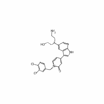 NCCN(CCO)c1cnc2[nH]cc(-c3ccn(Cc4ccc(Cl)c(Cl)c4)c(=O)c3)c2c1